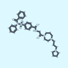 O=C(NCC(=O)N1CCCN(CCCN2CCCC2)CC1)c1ccc(S(=O)(=O)N(C(=O)c2ccccc2)c2ccccc2)cc1